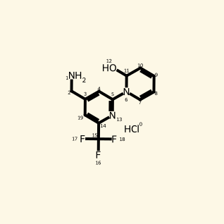 Cl.NCc1cc(N2C=CC=CC2O)nc(C(F)(F)F)c1